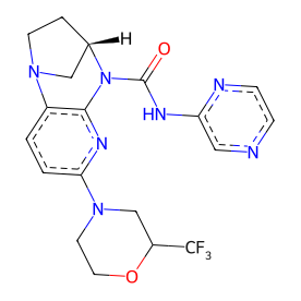 O=C(Nc1cnccn1)N1c2nc(N3CCOC(C(F)(F)F)C3)ccc2N2CC[C@H]1C2